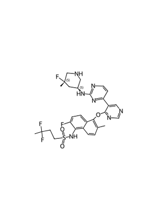 Cc1ccc2c(NS(=O)(=O)CCC(C)(F)F)c(F)ccc2c1Oc1ncncc1-c1ccnc(N[C@@H]2CNC[C@@](C)(F)C2)n1